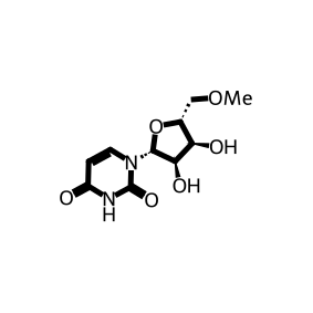 COC[C@H]1O[C@@H](n2ccc(=O)[nH]c2=O)[C@H](O)[C@@H]1O